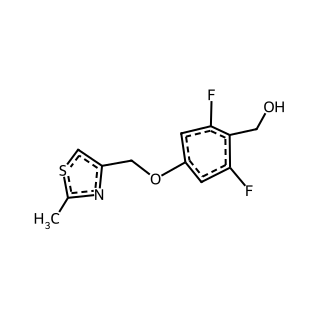 Cc1nc(COc2cc(F)c(CO)c(F)c2)cs1